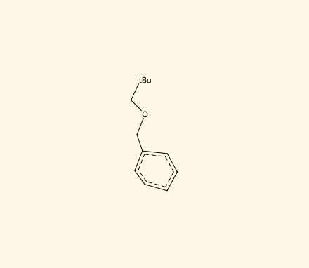 [CH2]C(C)(C)COCc1ccccc1